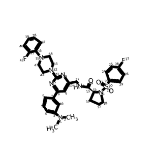 CN(C)c1cccc(-c2cc(CNC(=O)[C@@H]3CCCN3S(=O)(=O)c3ccc(F)cc3)nc(N3CCN(c4ccccc4F)CC3)n2)c1